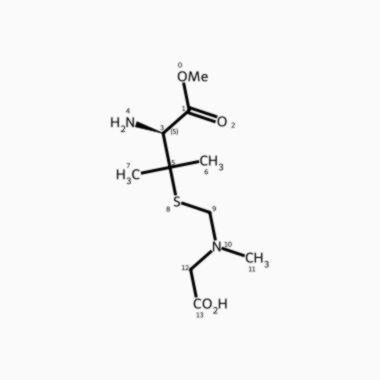 COC(=O)[C@H](N)C(C)(C)SCN(C)CC(=O)O